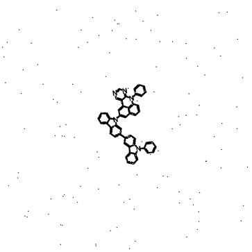 c1ccc(N2c3ncncc3-c3cc(-n4c5ccccc5c5ccc(-c6ccc7c(c6)c6ccccc6n7-c6ccccc6)cc54)cc4cccc2c34)cc1